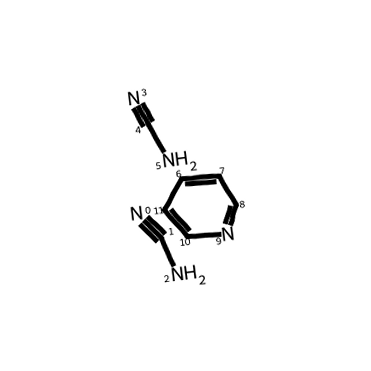 N#CN.N#CN.c1ccncc1